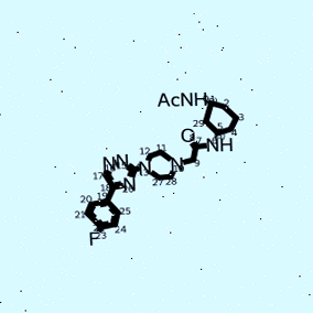 CC(=O)N[C@@H]1CCC[C@H](NC(=O)CN2CCN(c3nncc(-c4ccc(F)cc4)n3)CC2)C1